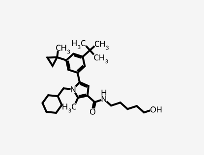 Cc1c(C(=O)NCCCCCO)cc(-c2cc(C(C)(C)C)cc(C3(C)CC3)c2)n1CC1CCCCC1